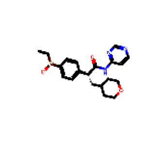 CC[S+]([O-])c1ccc([C@@H](CC2CCOCC2)C(=O)Nc2ccncn2)cc1